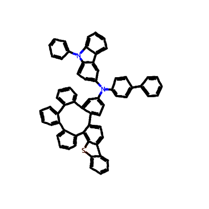 c1ccc(-c2ccc(N(c3ccc4c(c3)c3ccccc3c3ccccc3c3ccccc3c3c4ccc4c5ccccc5sc43)c3ccc4c(c3)c3ccccc3n4-c3ccccc3)cc2)cc1